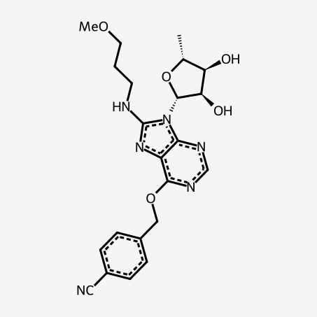 COCCCNc1nc2c(OCc3ccc(C#N)cc3)ncnc2n1[C@@H]1O[C@H](C)[C@@H](O)[C@H]1O